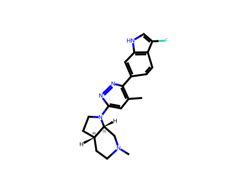 Cc1cc(N2CC[C@H]3CCN(C)C[C@H]32)nnc1-c1ccc2c(F)c[nH]c2c1